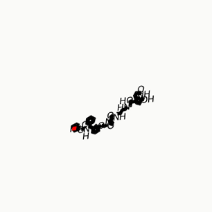 O=C(N[C@@H](c1ccccc1)c1cccc(OCc2nc(C(=O)NCCCCNCC(O)c3ccc(O)c4[nH]c(=O)ccc34)co2)c1)OC1CN2CCC1CC2